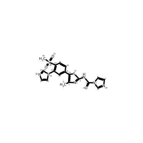 Cc1nc(NC(=O)n2ccnc2)sc1-c1ccc(S(C)(=O)=O)c(-n2ccnc2)c1